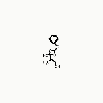 CC(CO)C1(O)OC(Oc2ccccc2)O1